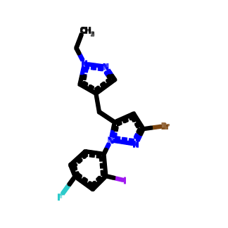 CCn1cc(Cc2cc(Br)nn2-c2ccc(F)cc2I)cn1